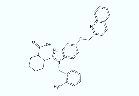 Cc1ccccc1Cn1c(C2CCCCC2C(=O)O)nc2cc(OCc3ccc4ccccc4n3)ccc21